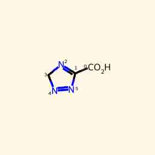 O=C(O)C1=NCN=N1